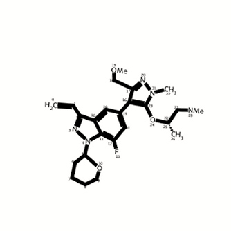 C=Cc1nn(C2CCCCO2)c2c(F)cc(-c3c(COC)nn(C)c3O[C@@H](C)CNC)cc12